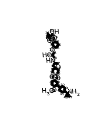 COc1ccc(S(=O)(=O)N2CCC3(CC2)CC(NCC(O)COc2cccc(S(=O)(=O)C4(CO)CC4)c2)CO3)cc1-c1ccc(C2(N)CC2)cc1